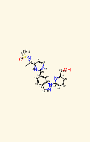 C/C(=N\[S@+]([O-])C(C)(C)C)c1ccnc(-c2ccc3cnn(-c4cccc(CO)n4)c3c2)n1